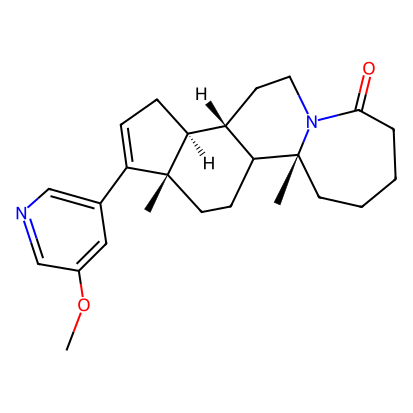 COc1cncc(C2=CC[C@H]3[C@@H]4CCN5C(=O)CCCC[C@]5(C)C4CC[C@]23C)c1